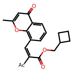 CC(=O)C(=Cc1cccc2c(=O)cc(C)oc12)C(=O)OCC1CCC1